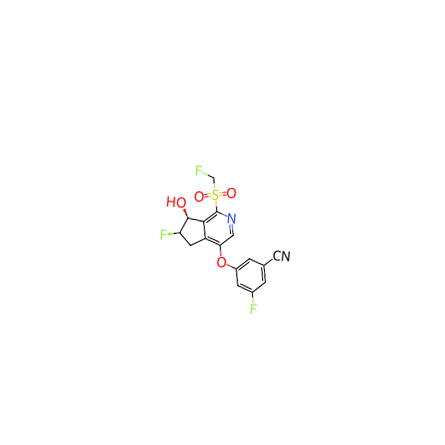 N#Cc1cc(F)cc(Oc2cnc(S(=O)(=O)CF)c3c2C[C@@H](F)[C@H]3O)c1